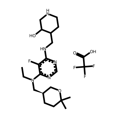 CCN(C[C@@H]1CCC(C)(C)OC1)c1ncnc(NCC2CCNCC2O)c1F.O=C(O)C(F)(F)F